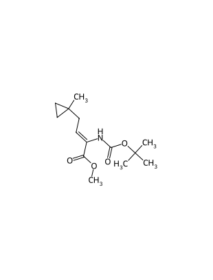 COC(=O)C(=CCC1(C)CC1)NC(=O)OC(C)(C)C